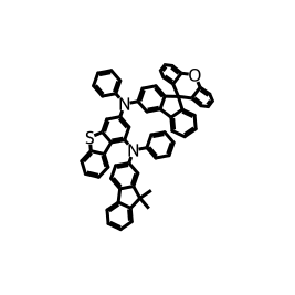 CC1(C)c2ccccc2-c2ccc(N(c3ccccc3)c3cc(N(c4ccccc4)c4ccc5c(c4)-c4ccccc4C54c5ccccc5Oc5ccccc54)cc4sc5ccccc5c34)cc21